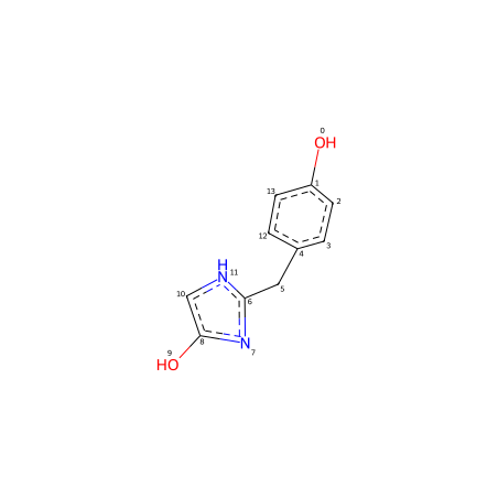 Oc1ccc(Cc2nc(O)c[nH]2)cc1